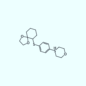 c1cc([SH]2CCOCC2)ccc1SC1CCCCC12OCCO2